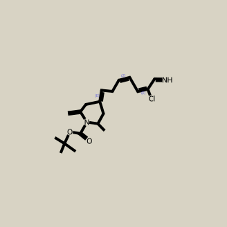 C=C1C/C(=C/C/C=C\C=C(\Cl)C=N)CC(C)N1C(=O)OC(C)(C)C